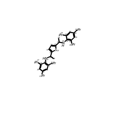 CC(C)c1cc(C(C)C)c(NC(C)c2ccc(C(C)Nc3c(C(C)C)cc(C(C)C)cc3C(C)C)s2)c(C(C)C)c1